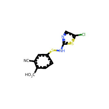 N#Cc1cc(SNc2ncc(Cl)s2)ccc1C(=O)O